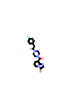 O=C(c1cccn2c(Br)cnc12)N1CCN(C(F)Cc2ccc(F)cc2)CC1